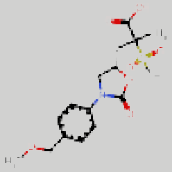 COCc1ccc(N2C[C@H](CC(C)(C(=O)O)S(C)(=O)=O)OC2=O)cc1